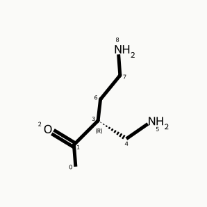 CC(=O)[C@@H](CN)CCN